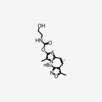 CCCCc1noc(C)c1/C=C\c1nc(C)c(OC(=O)NCCO)s1